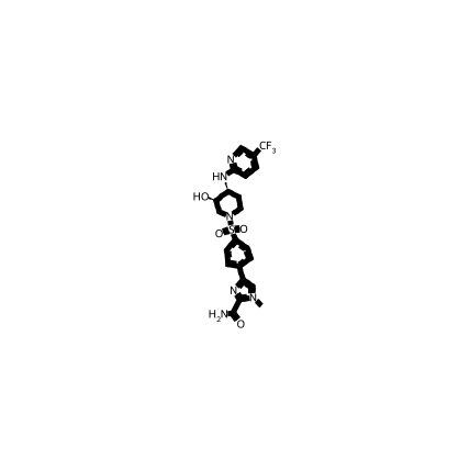 Cn1cc(-c2ccc(S(=O)(=O)N3CC[C@@H](Nc4ccc(C(F)(F)F)cn4)[C@@H](O)C3)cc2)nc1C(N)=O